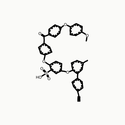 C#Cc1ccc(-c2cc(C)ccc2Oc2ccc(Oc3ccc(C(=O)c4ccc(Oc5ccc(OC)cc5)cc4)cc3)c(S(=O)(=O)O)c2)cc1